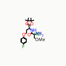 COCC(N)C(=O)NC(CCOc1ccc(F)cc1)B1OC(C)(C)C(C)(C)O1.Cl